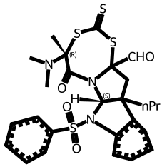 CCCC12CC3(C=O)SC(=S)S[C@@](C)(N(C)C)C(=O)N3[C@H]1N(S(=O)(=O)c1ccccc1)c1ccccc12